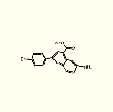 COC(=O)c1cc(-c2ccc(Br)cc2)nc2ccc(N)cc12